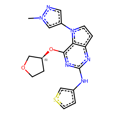 Cn1cc(-n2ccc3nc(Nc4ccsc4)nc(O[C@H]4CCOC4)c32)cn1